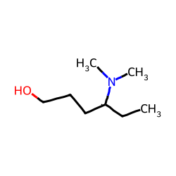 CC[C](CCCO)N(C)C